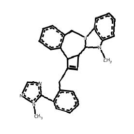 CN1c2ccccc2N2Cc3ccccc3C3C(Cc4ccccc4-c4ncnn4C)=CC3C12